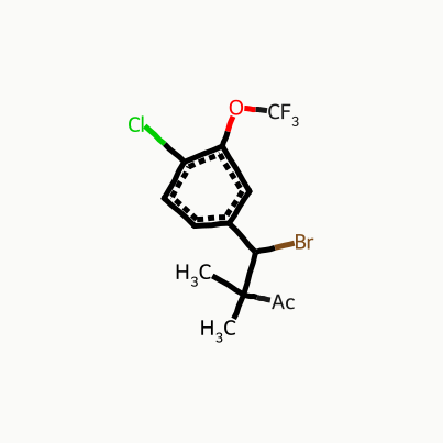 CC(=O)C(C)(C)C(Br)c1ccc(Cl)c(OC(F)(F)F)c1